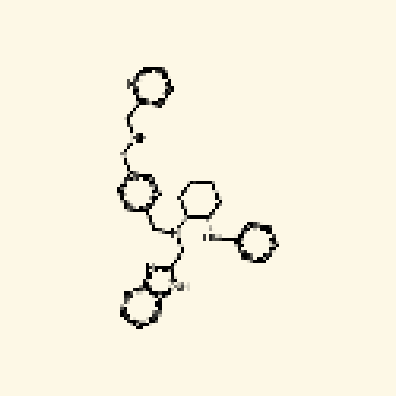 c1ccc(N[C@H]2CCCC[C@@H]2N(Cc2ccc(CNCc3ccccn3)cc2)Cc2nc3ccccc3[nH]2)cc1